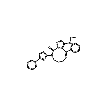 COC(=O)c1cnn2c1/C(c1ccccc1)=N\CCCN(c1nc(-c3ccccc3)cs1)C2=O